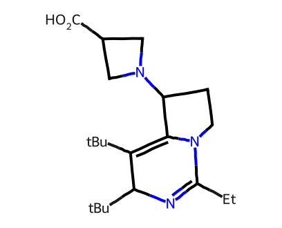 CCC1=NC(C(C)(C)C)C(C(C)(C)C)=C2C(N3CC(C(=O)O)C3)CCN12